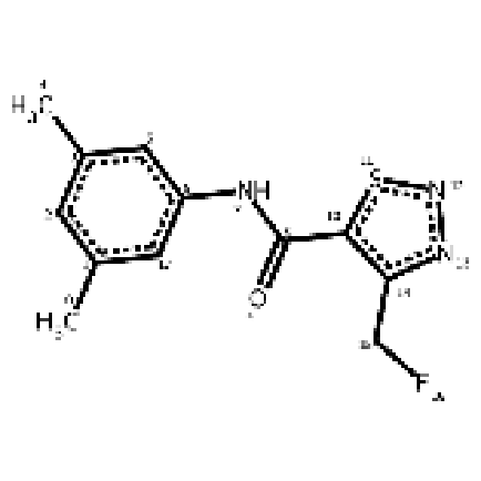 Cc1cc(C)cc(NC(=O)c2snnc2CF)c1